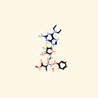 CCN(CC)c1nc(N)nc2c1ncn2[C@@H]1O[C@H](CON(C(C)C(=O)OC)[PH](=O)Oc2ccccc2)[C@@H](O)[C@@]1(C)F